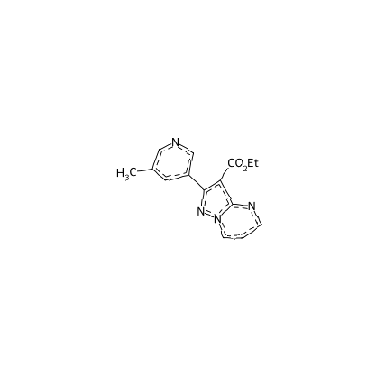 CCOC(=O)c1c(-c2cncc(C)c2)nn2cccnc12